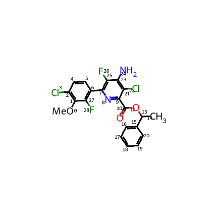 COc1c(Cl)ccc(-c2nc(C(=O)OC(C)c3ccccc3)c(Cl)c(N)c2F)c1F